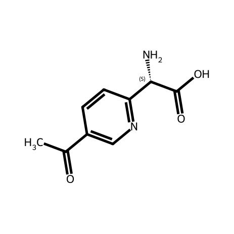 CC(=O)c1ccc([C@H](N)C(=O)O)nc1